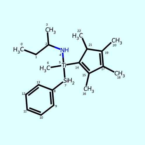 CCC(C)[NH][Ti]([CH3])([SiH2]c1ccccc1)[C]1=C(C)C(C)=C(C)C1C